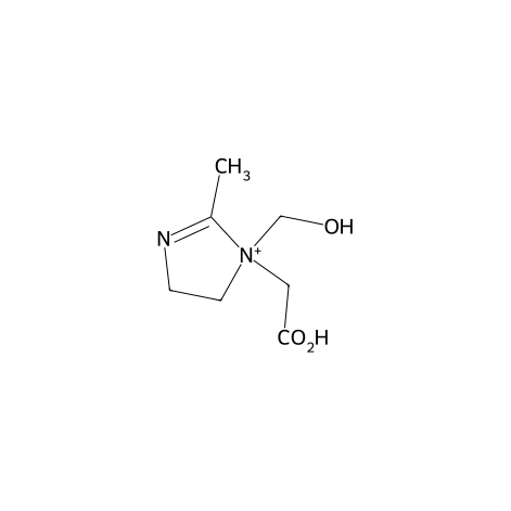 CC1=NCC[N+]1(CO)CC(=O)O